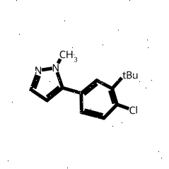 Cn1nccc1-c1ccc(Cl)c(C(C)(C)C)c1